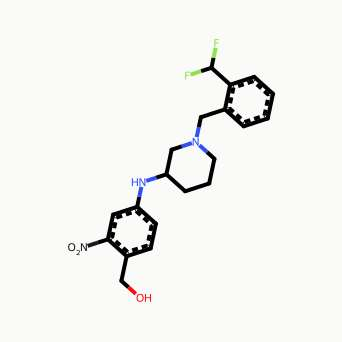 O=[N+]([O-])c1cc(NC2CCCN(Cc3ccccc3C(F)F)C2)ccc1CO